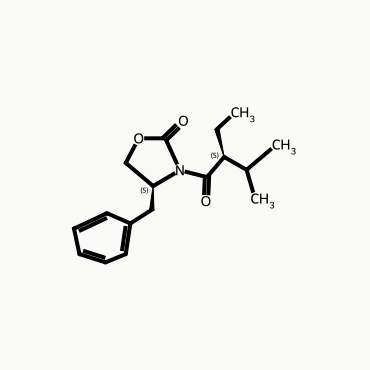 CC[C@H](C(=O)N1C(=O)OC[C@@H]1Cc1ccccc1)C(C)C